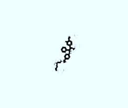 CNC(=O)CN(C)CCNC(=O)c1ccc(N/C(=C2\C(=O)Nc3cc(C(=O)OC)c(C)cc32)c2ccccc2)cc1